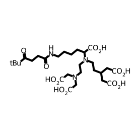 CC(C)(C)C(=O)CCC(=O)NCCCCC(C(=O)O)N(CCC(CC(=O)O)CC(=O)O)CCN(CC(=O)O)CC(=O)O